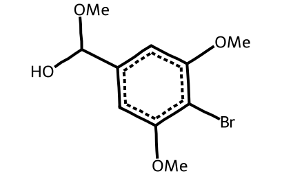 COc1cc(C(O)OC)cc(OC)c1Br